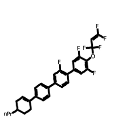 CCCC1CC=C(c2ccc(-c3ccc(-c4cc(F)c(OC(F)(F)C=C(F)F)c(F)c4)c(F)c3)cc2)CC1